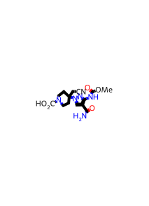 COC(=O)Nc1nn(C2(CC#N)CCN(C(=O)O)CC2)cc1C(N)=O